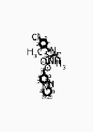 Cc1cc(Cl)ccc1-c1nc(C)c(NC(=O)OCc2ccc3c(c2)nc2n3CCCC2)s1